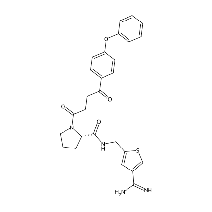 N=C(N)c1csc(CNC(=O)[C@@H]2CCCN2C(=O)CCC(=O)c2ccc(Oc3ccccc3)cc2)c1